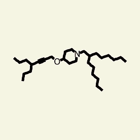 CCCCCCC(CCCCCC)CN1CCC(OCC#CC(CCC)CCC)CC1